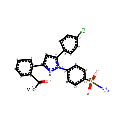 COC(=O)c1ccccc1-c1cc(-c2ccc(Cl)cc2)n(-c2ccc(S(N)(=O)=O)cc2)n1